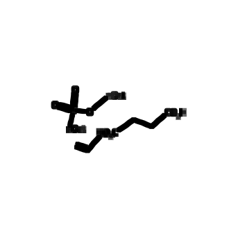 C=CCCCC.CCCCCCCCOS(=O)(=O)CCCCCCCC.O=C(O)CCC(=O)O